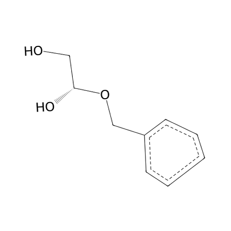 OC[C@@H](O)OCc1ccccc1